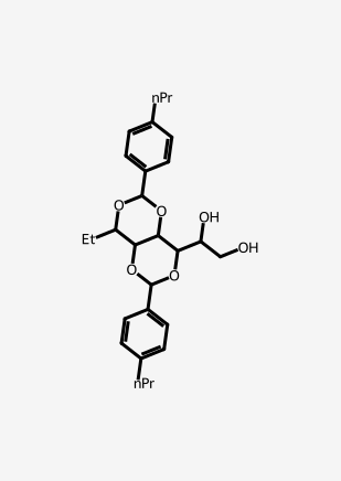 CCCc1ccc(C2OC(C(O)CO)C3OC(c4ccc(CCC)cc4)OC(CC)C3O2)cc1